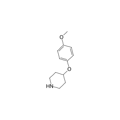 COc1ccc(OC2CCNCC2)cc1